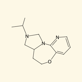 CC(C)N1CC2CCOc3cccnc3N2C1